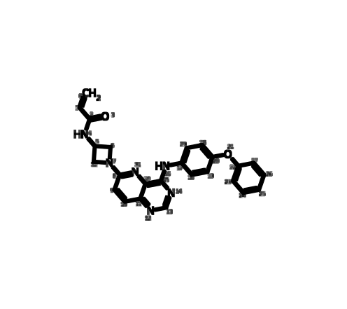 C=CC(=O)NC1CN(c2ccc3ncnc(Nc4ccc(Oc5ccccc5)cc4)c3n2)C1